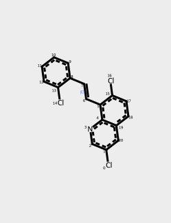 Clc1cnc2c(/C=C/c3ccccc3Cl)c(Cl)ccc2c1